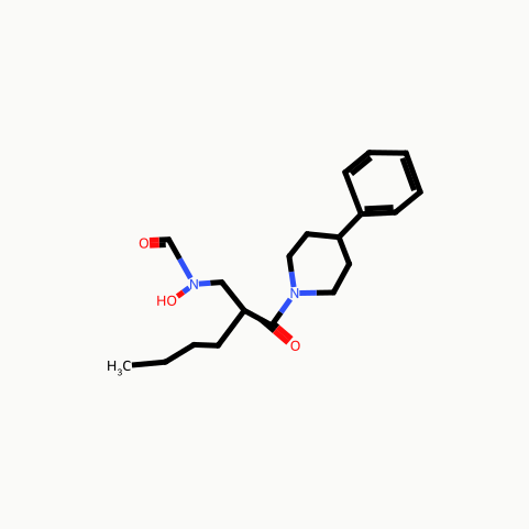 CCCCC(CN(O)C=O)C(=O)N1CCC(c2ccccc2)CC1